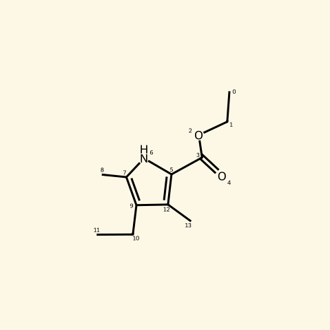 CCOC(=O)c1[nH]c(C)c(CC)c1C